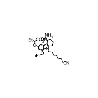 CCCOc1cc(OC(CC)C(=O)O)cc2c3c(n(CCCCCCCC#N)c12)CCCC3C(N)=O